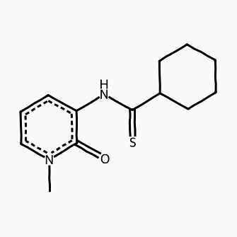 Cn1cccc(NC(=S)C2CCCCC2)c1=O